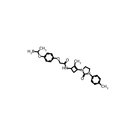 BC(C)Oc1ccc(OCC(=O)NC2CC(N3CCN(c4ccc(C)cc4)C3=O)=C2C)cc1